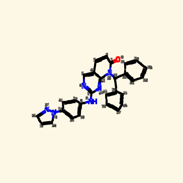 O=c1ccc2cnc(Nc3ccc(-n4cccn4)cc3)nc2n1C(c1ccccc1)c1ccccc1